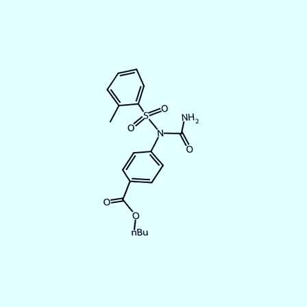 CCCCOC(=O)c1ccc(N(C(N)=O)S(=O)(=O)c2ccccc2C)cc1